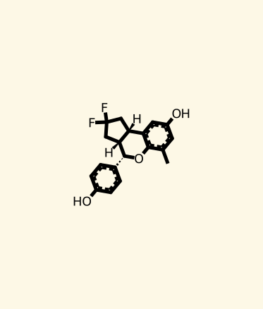 Cc1cc(O)cc2c1O[C@H](c1ccc(O)cc1)[C@@H]1CC(F)(F)C[C@H]21